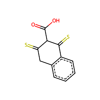 O=C(O)C1C(=S)Cc2ccccc2C1=S